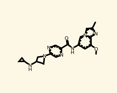 COc1cc(NC(=O)c2cnc(N3CC(NC4CC4)C3)cn2)cn2cc(C)nc12